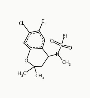 CCS(=O)(=O)N(C)C1CC(C)(C)Oc2cc(Cl)c(Cl)cc21